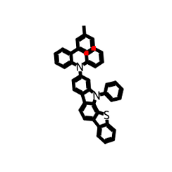 Cc1cccc(-c2ccccc2N(c2ccccc2)c2ccc3c4ccc5c6ccccc6sc5c4n(-c4ccccc4)c3c2)c1